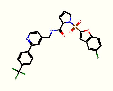 O=C(NCc1ccnc(-c2ccc(C(F)(F)F)cc2)c1)C1C=CCN1S(=O)(=O)c1cc2cc(F)ccc2o1